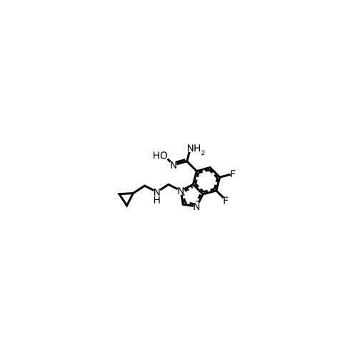 NC(=NO)c1cc(F)c(F)c2ncn(CNCC3CC3)c12